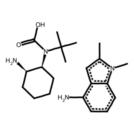 CC(C)(C)N(C(=O)O)[C@H]1CCCC[C@H]1N.Cc1cc2c(N)cccc2n1C